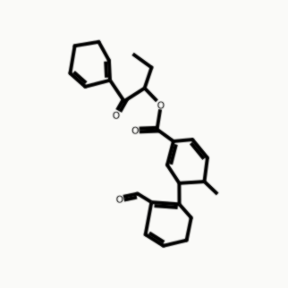 CCC(OC(=O)C1=CC(C2=C(C=O)C=CCC2)C(C)C=C1)C(=O)C1=CCCC=C1